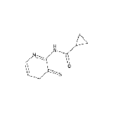 O=C(NC1=NC=CCC1=S)C1CC1